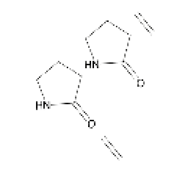 C=C.C=C.O=C1CCCN1.O=C1CCCN1